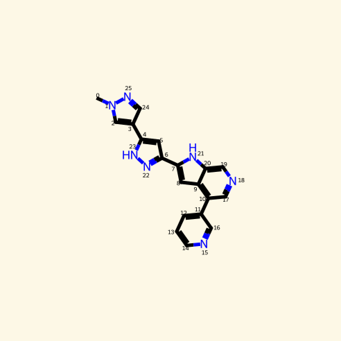 Cn1cc(-c2cc(-c3cc4c(-c5cccnc5)cncc4[nH]3)n[nH]2)cn1